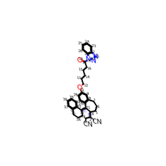 N#CC/C(C#N)=C1/CCCc2cc(OCCCCCC(=O)n3nnc4ccccc43)ccc2/C1=C1/CCCc2ccccc21